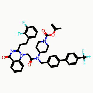 C=C(C)OC(=O)N1CCC(N(Cc2ccc(-c3ccc(C(F)(F)F)cc3)cc2)C(=O)Cn2c(CCc3cccc(F)c3F)nc(=O)c3ccccc32)CC1